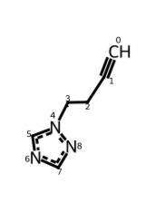 C#CC[CH]n1cncn1